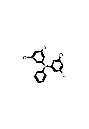 Clc1cc(Cl)cc([S+](c2ccccc2)c2cc(Cl)cc(Cl)c2)c1